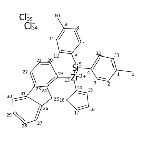 Cc1ccc([Si](c2ccc(C)cc2)=[Zr+2]([C]2=CC=CC2)[c]2cccc3c2Cc2ccccc2-3)cc1.[Cl-].[Cl-]